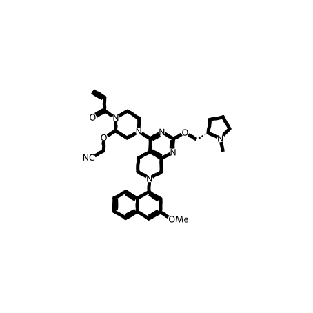 C=CC(=O)N1CCN(c2nc(OC[C@@H]3CCCN3C)nc3c2CCN(c2cc(OC)cc4ccccc24)C3)CC1OCC#N